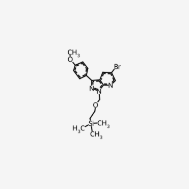 COc1ccc(-c2nn(COCC[Si](C)(C)C)c3ncc(Br)cc23)cc1